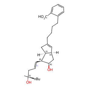 CCCC[C@](C)(O)C/C=C/[C@H]1[C@H]2CC(CCCCc3ccccc3C(=O)O)=C[C@H]2C[C@H]1O